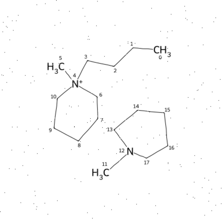 CCCC[N+]1(C)CCCCC1.CN1CCCCC1